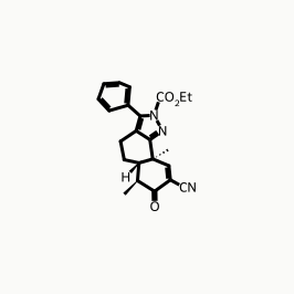 CCOC(=O)n1nc2c(c1-c1ccccc1)CC[C@H]1[C@H](C)C(=O)C(C#N)=C[C@]21C